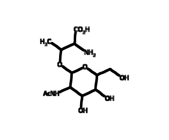 CC(=O)NC1C(OC(C)C(N)C(=O)O)OC(CO)C(O)C1O